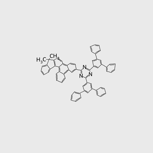 CC1(C)c2ccccc2-c2c1ccc1c3ccc(-c4nc(-c5cc(-c6ccccc6)cc(-c6ccccc6)c5)nc(-c5cc(-c6ccccc6)cc(-c6ccccc6)c5)n4)cc3c3ccccc3c21